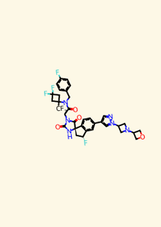 O=C1N[C@]2(C[C@@H](F)c3cc(-c4cnn(C5CN(C6COC6)C5)c4)ccc32)C(=O)N1CC(=O)N(Cc1ccc(F)cc1)C1(C(F)(F)F)CC(F)(F)C1